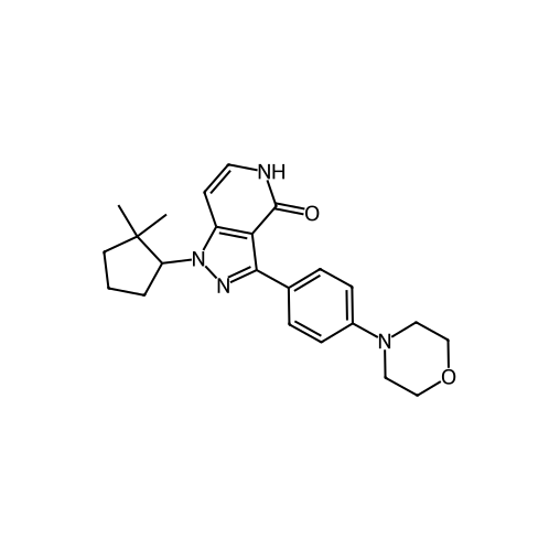 CC1(C)CCCC1n1nc(-c2ccc(N3CCOCC3)cc2)c2c(=O)[nH]ccc21